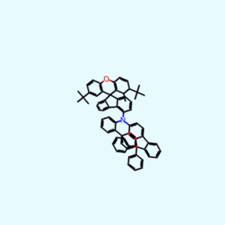 CC1C2=C(C=CC1C(C)(C)C)Oc1ccc(C(C)(C)C)cc1C21c2ccccc2-c2c(N(c3ccc4c(c3)C(c3ccccc3)(c3ccccc3)c3ccccc3-4)c3ccccc3-c3ccccc3)cccc21